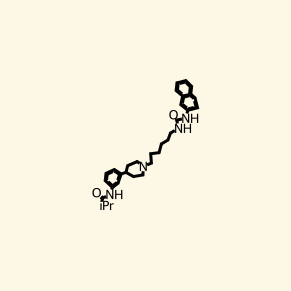 CC(C)C(=O)Nc1cccc(C2CCN(CCCCCCNC(=O)Nc3ccc4ccccc4c3)CC2)c1